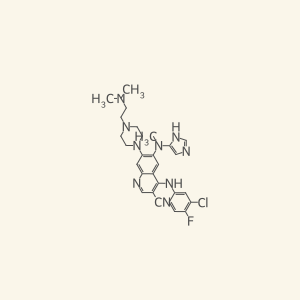 CN(C)CCN1CCN(c2cc3ncc(C#N)c(Nc4ccc(F)c(Cl)c4)c3cc2N(C)c2cnc[nH]2)CC1